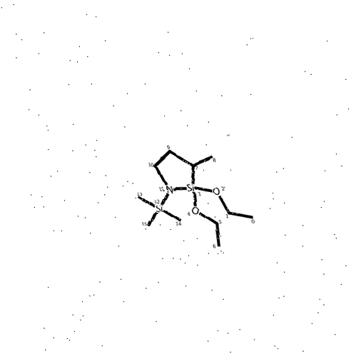 CCO[Si]1(OCC)C(C)CCN1[Si](C)(C)C